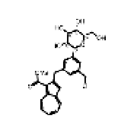 COC(=O)c1c(Cc2cc(CCl)cc([C@@H]3O[C@H](CO)[C@@H](O)[C@H](O)[C@@H]3O)c2)cc2cccccc1-2